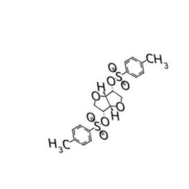 Cc1ccc(S(=O)(=O)O[C@@H]2CO[C@H]3[C@@H]2OC[C@H]3OS(=O)(=O)c2ccc(C)cc2)cc1